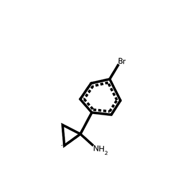 NC1(c2ccc(Br)cc2)[CH]C1